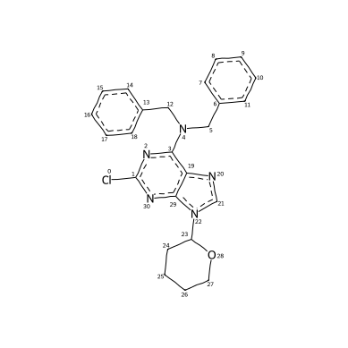 Clc1nc(N(Cc2ccccc2)Cc2ccccc2)c2ncn(C3CCCCO3)c2n1